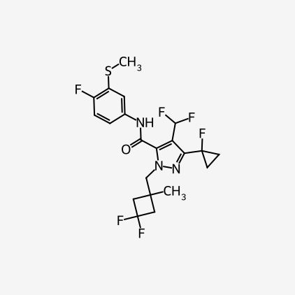 CSc1cc(NC(=O)c2c(C(F)F)c(C3(F)CC3)nn2CC2(C)CC(F)(F)C2)ccc1F